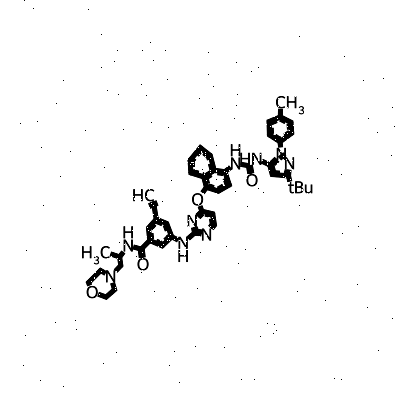 C#Cc1cc(Nc2nccc(Oc3ccc(NC(=O)Nc4cc(C(C)(C)C)nn4-c4ccc(C)cc4)c4ccccc34)n2)cc(C(=O)NC(C)CN2CCOCC2)c1